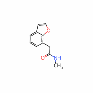 CNC(=O)Cc1cccc2ccoc12